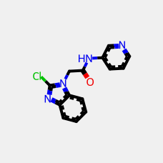 O=C(Cn1c(Cl)nc2ccccc21)Nc1cccnc1